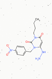 CCCCn1c(=O)cc(NN)n(Cc2ccc([N+](=O)[O-])cc2)c1=O